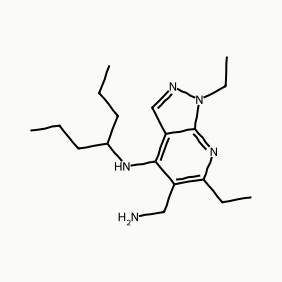 CCCC(CCC)Nc1c(CN)c(CC)nc2c1cnn2CC